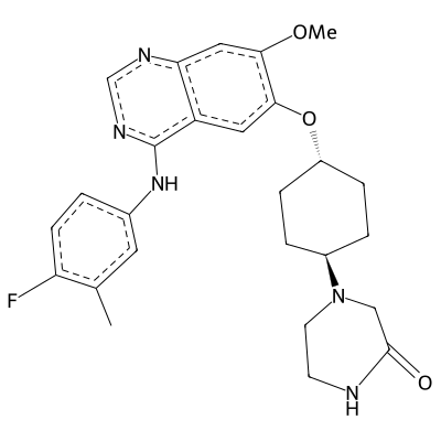 COc1cc2ncnc(Nc3ccc(F)c(C)c3)c2cc1O[C@H]1CC[C@H](N2CCNC(=O)C2)CC1